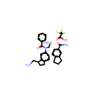 NC(=O)c1ccc2c(c1)CCC2.NCC1CCc2ccc(N(CC(=O)O)C(=O)c3ccccc3)cc21.O=C(O)C(F)(F)F